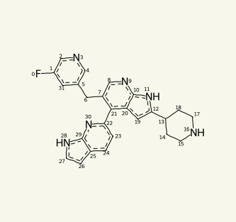 Fc1cncc(Cc2cnc3[nH]c(C4CCNCC4)cc3c2-c2ccc3cc[nH]c3n2)c1